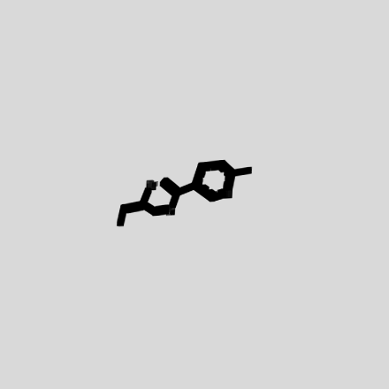 C=C(/N=C\C(Br)=C/C)c1ccc(C)nc1